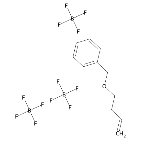 C=CCCOCc1ccccc1.F[B-](F)(F)F.F[B-](F)(F)F.F[B-](F)(F)F